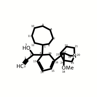 C#CC(O)C1(C2CCCCCCC2)C=CC=C(C2(OC)CN3CCC2CC3)C1